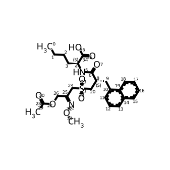 CCCC[C@H](NC(=O)[C@H](Cc1cccc2ccccc12)CS(=O)(=O)CC(COC(C)=O)=NOC)C(=O)O